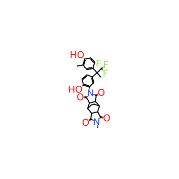 Cc1cc(C(C)(c2ccc(O)c(N3C(=O)C4C5CCC(C6C(=O)N(C)C(=O)C56)C4C3=O)c2)C(F)(F)F)ccc1O